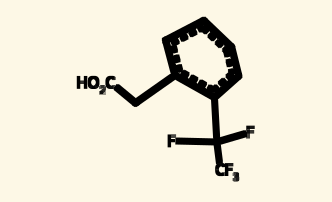 O=C(O)Cc1ccccc1C(F)(F)C(F)(F)F